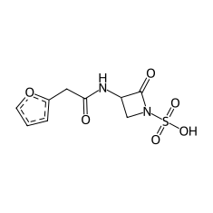 O=C(Cc1ccco1)NC1CN(S(=O)(=O)O)C1=O